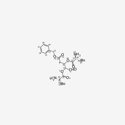 CC[C@H](C)[C@H](N)C(=O)OC([C]=O)C(CC(=O)OCc1ccccc1)OC(=O)[C@@H](N)[C@@H](C)CC